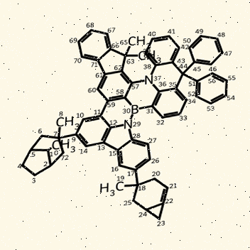 CC1C2CCC1CC(C)(c1cc3c4c(c1)c1cc(C5(C)CC=C6CC6C5)ccc1n4B1c4cccc5c4N(c4ccccc4C5(c4ccccc4)c4ccccc4)c4c1c-3cc1c4C(C)(C)c3ccccc3-1)C2